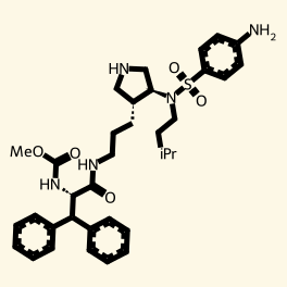 COC(=O)N[C@H](C(=O)NCCC[C@@H]1CNC[C@H]1N(CCC(C)C)S(=O)(=O)c1ccc(N)cc1)C(c1ccccc1)c1ccccc1